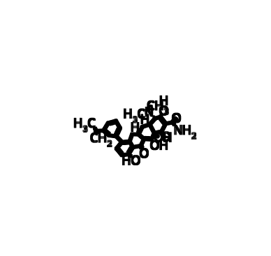 C=C(C)c1cccc(-c2ccc(O)c3c2C[C@H]2C[C@H]4[C@H](N(C)C)C(O)=C(C(N)=O)C(=O)C4(O)C(O)=C2C3=O)c1